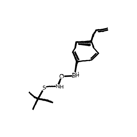 C=Cc1ccc(BONSC(C)(C)C)cc1